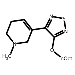 CCCCCCCCOc1nsnc1C1=CCCN(C)C1